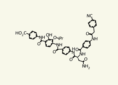 CC(C)Oc1c(NC(=O)c2ccc(NC(=O)[C@H](CC(N)=O)NC(=O)c3ccc(NC(=O)Cc4ccc(C#N)cc4)cc3)cc2)ccc(C(=O)Nc2ccc(C(=O)O)cc2)c1O